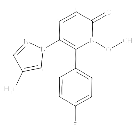 COn1c(-c2ccc(F)cc2)c(-n2cc(C)cn2)ccc1=O